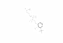 COc1c(CCC(=O)NCCCN)cc(C)cc1C(C)(C)C